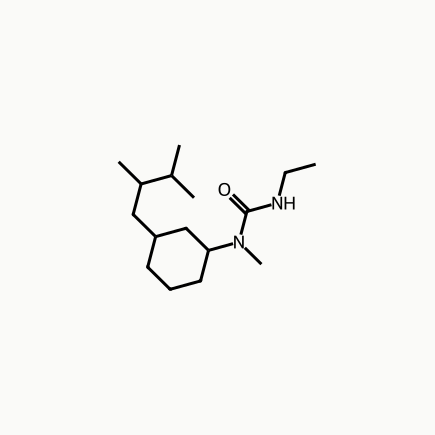 CCNC(=O)N(C)C1CCCC(CC(C)C(C)C)C1